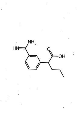 CCCC(C(=O)O)c1cccc(C(=N)N)c1